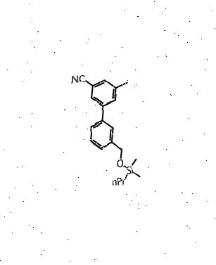 CCC[Si](C)(C)OCc1cccc(-c2cc(C)cc(C#N)c2)c1